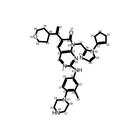 C=C(c1cc2cnc(Nc3ccc(N4CCNCC4)c(C)c3)nc2n(Cc2nccn2C2=CCCC2)c1=O)C1CCOCC1